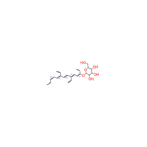 C=C\C=C/C=C(C=C)/C=C/C(C=C)=C/C=C(\C=C)OC1OC(CO)C(O)C(O)C1O